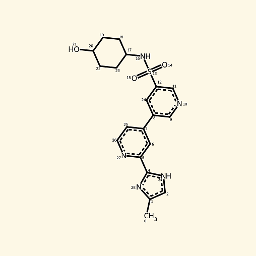 Cc1c[nH]c(-c2cc(-c3cncc(S(=O)(=O)NC4CCC(O)CC4)c3)ccn2)n1